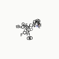 C=C/C(Cl)=C1\CN(C(C2CCc3c(C#CC(C)(C)S(C)(=O)=O)nc([C@H](Cc4cc(F)cc(F)c4)NC(=O)OC(C)(C)C)c(C)c32)C(F)(F)F)N=C1N(S(C)(=O)=O)S(C)(=O)=O